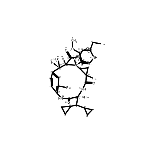 CO[C@@H](C)C(=O)[N+]1(C)C2CC2(F)C(=O)N[C@@H](C(C2CC2)C2CC2)C(=O)Nc2ccc(cc2F)[C@H](C)[C@@H]1C(=O)N1CCNC(CF)C1